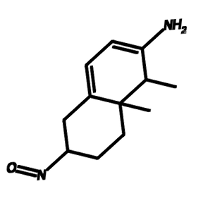 CC1C(N)=CC=C2CC(N=O)CCC21C